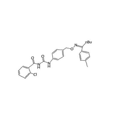 CCCCC(=NOCc1ccc(NC(=O)NC(=O)c2ccccc2Cl)cc1)c1ccc(C)cc1